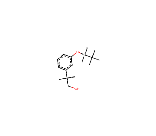 CC(C)(CO)c1cccc(O[Si](C)(C)C(C)(C)C)c1